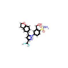 NS(=O)(=O)c1ccc(-n2nc(C(F)F)cc2-c2ccc3c(c2)CCO3)cc1CO